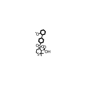 COc1ccccc1-c1ccc(S(=O)(=O)N2CCSC(C)(C)[C@@H]2C(=O)O)cc1